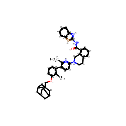 Cc1c(OCC23CC4CC(CC(C4)C2)C3)cccc1-c1ccc(N2CCc3cccc(C(=O)Nc4nc5ccccc5s4)c3C2)nc1C(=O)O